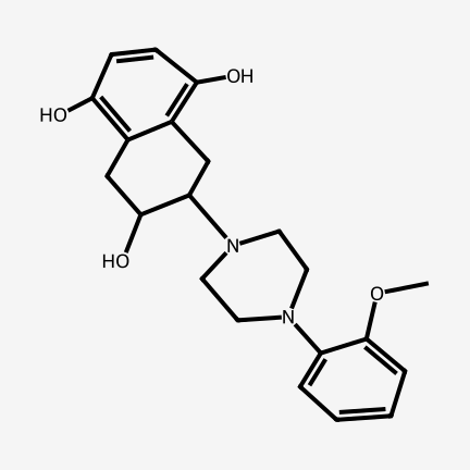 COc1ccccc1N1CCN(C2Cc3c(O)ccc(O)c3CC2O)CC1